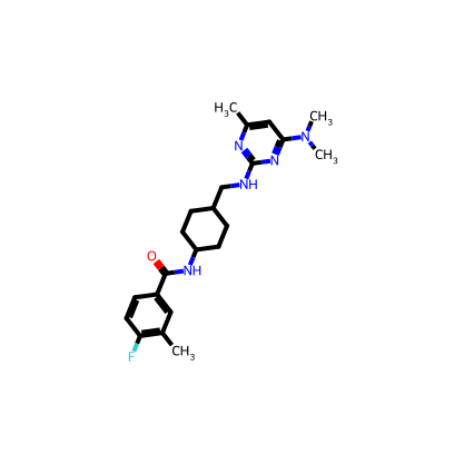 Cc1cc(N(C)C)nc(NCC2CCC(NC(=O)c3ccc(F)c(C)c3)CC2)n1